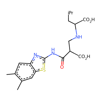 Cc1cc2nc(NC(=O)C(CNC(CC(C)C)C(=O)O)C(=O)O)sc2cc1C